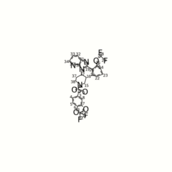 O=S(=O)(c1ccc2c(c1)OC(F)(F)O2)N1CCC(n2c(-c3ccccc3OC(F)F)nc3cccnc32)CC1